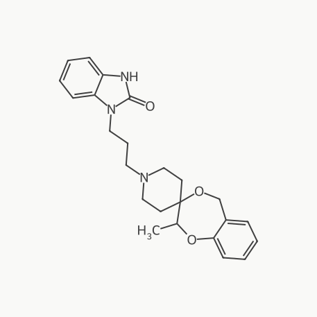 CC1Oc2ccccc2COC12CCN(CCCn1c(=O)[nH]c3ccccc31)CC2